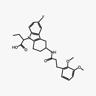 CCC(C(=O)O)n1c2c(c3cc(F)ccc31)CC(NC(=O)CCc1cccc(OC)c1OC)CC2